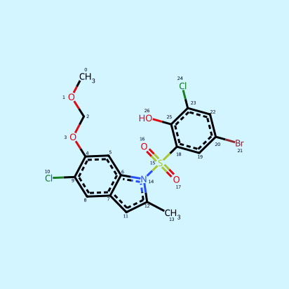 COCOc1cc2c(cc1Cl)cc(C)n2S(=O)(=O)c1cc(Br)cc(Cl)c1O